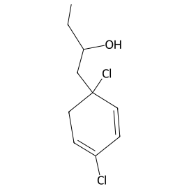 CCC(O)CC1(Cl)C=CC(Cl)=CC1